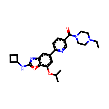 CCN1CCN(C(=O)c2ccc(-c3cc(OC(C)C)c4oc(NC5CCC5)nc4c3)nc2)CC1